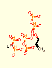 C=CCO.O=[PH]([O-])O[PH](=O)[O-].O=[PH]([O-])O[PH](=O)[O-].O=[PH]([O-])O[PH](=O)[O-].[U+6]